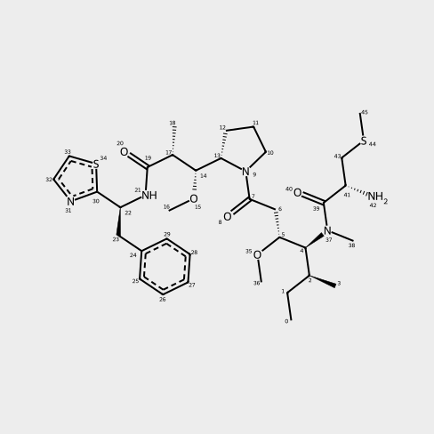 CC[C@H](C)[C@@H]([C@@H](CC(=O)N1CCC[C@H]1[C@H](OC)[C@@H](C)C(=O)N[C@@H](Cc1ccccc1)c1nccs1)OC)N(C)C(=O)[C@@H](N)CSC